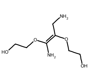 NCC(OCCO)=C(N)OCCO